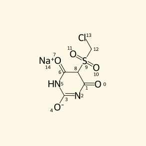 O=C1N=C([O-])NC(=O)C1S(=O)(=O)CCl.[Na+]